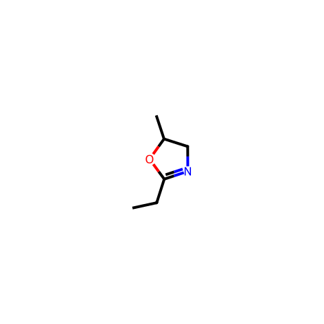 CCC1=NCC(C)O1